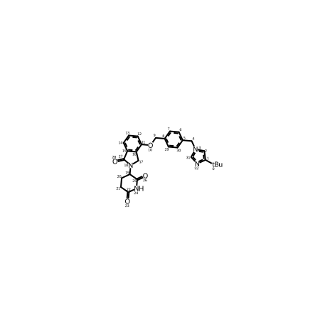 CC(C)(C)c1cn(Cc2ccc(COc3cccc4c3CN(C3CCC(=O)NC3=O)C4=O)cc2)cn1